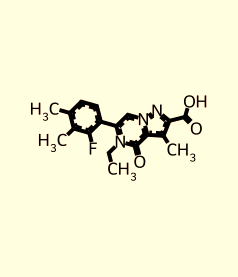 CCn1c(-c2ccc(C)c(C)c2F)cn2nc(C(=O)O)c(C)c2c1=O